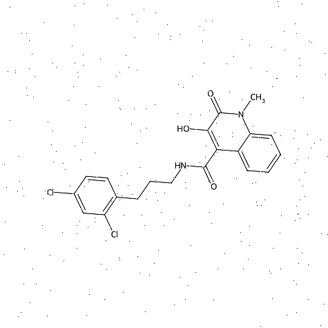 Cn1c(=O)c(O)c(C(=O)NCCCc2ccc(Cl)cc2Cl)c2ccccc21